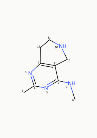 CNc1nc(C)nc2c1CNCC2